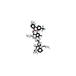 CCOC(=O)C(CCC(=O)Oc1c(F)cc(NC(=O)c2ccc(C)cc2-c2ccc(C(F)(F)F)cc2)c(C(=O)N(C)C)c1F)(C(=O)OCC)c1ccccc1